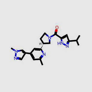 Cc1cc(-c2cnn(C)c2)cc([C@@H]2CCN(C(=O)c3cc(C(C)C)n[nH]3)C2)n1